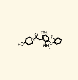 Cl.Nc1c(CC(=O)N2CCC(O)CC2)cccc1Oc1ccccc1F